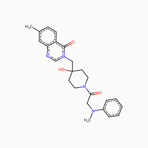 Cc1ccc2c(=O)n(CC3(O)CCN(C(=O)CN(C)c4ccccc4)CC3)cnc2c1